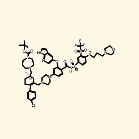 CC(C)(C)OC(=O)N1CCCN(C[C@]2(C)CCC(c3ccc(Cl)cc3)=C(CN3CCN(c4ccc(C(=O)NS(=O)(=O)c5ccc(NCCCN6CCOCC6)c(S(=O)(=O)C(F)(F)F)c5)c(Oc5cnc6[nH]ccc6c5)c4)CC3)C2)CC1